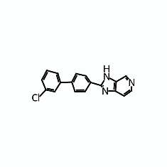 Clc1cccc(-c2ccc(-c3nc4ccncc4[nH]3)cc2)c1